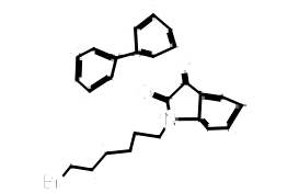 O=C1C(=O)N(CCCCCCBr)c2ccccc21.c1ccc(-c2ccccc2)cc1